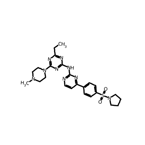 CCc1nc(Nc2nccc(-c3ccc(S(=O)(=O)N4CCCC4)cc3)n2)nc(N2CCN(C)CC2)n1